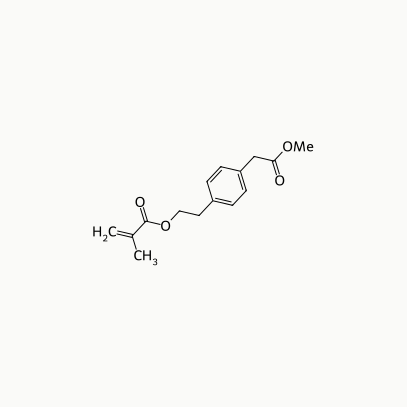 C=C(C)C(=O)OCCc1ccc(CC(=O)OC)cc1